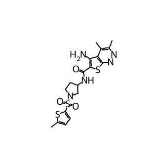 Cc1ccc(S(=O)(=O)N2CCC(NC(=O)c3sc4nnc(C)c(C)c4c3N)C2)s1